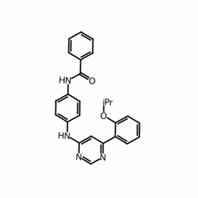 CC(C)Oc1ccccc1-c1cc(Nc2ccc(NC(=O)c3ccccc3)cc2)ncn1